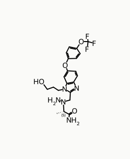 C[C@@H](C(N)=O)N(N)Cc1nc2ccc(Oc3ccc(OC(F)(F)F)cc3)cc2n1CCCO